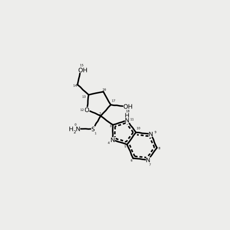 NSC1(c2nc3cncnc3[nH]2)OC(CO)CC1O